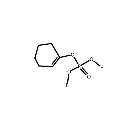 O=P(OF)(OF)OC1=CCCCC1